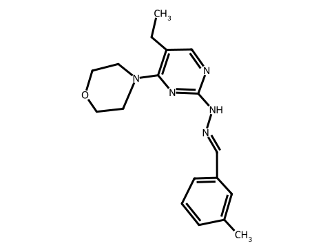 CCc1cnc(N/N=C/c2cccc(C)c2)nc1N1CCOCC1